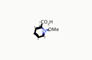 CO[n+]1ccccc1C(=O)O